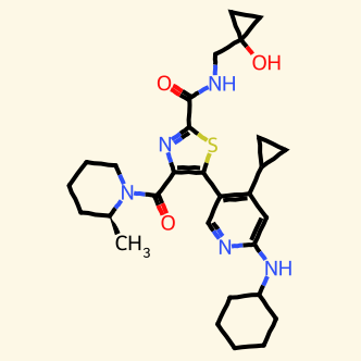 C[C@H]1CCCCN1C(=O)c1nc(C(=O)NCC2(O)CC2)sc1-c1cnc(NC2CCCCC2)cc1C1CC1